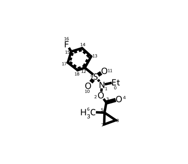 CCN(OC(=O)C1(C)CC1)S(=O)(=O)c1ccc(F)cc1